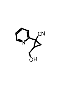 N#CC1(c2ccccn2)CC1CO